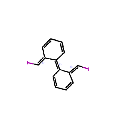 I\C=c1/cccc/c1=c1/cccc/c1=C\I